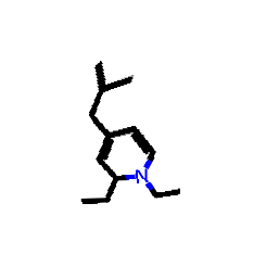 CCC1C=C(CC(C)C)C=CN1CC